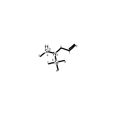 C=CCN([SiH2]C)[Si](C)(C)C